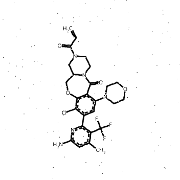 C=CC(=O)N1CCN2C(=O)c3c(N4CCOCC4)cc(-c4nc(N)cc(C)c4C(F)(F)F)c(Cl)c3OCC2C1